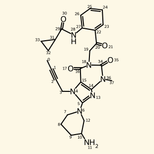 CC#CCn1c(N2CCCC(N)C2)nc2c1c(=O)n(CC(=O)c1ccccc1NC(=O)C1CC1)c(=O)n2C